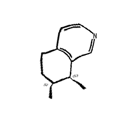 C[C@@H]1c2cnccc2CC[C@@H]1C